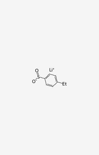 CCc1ccc(S(=O)[O-])cc1.[Li+]